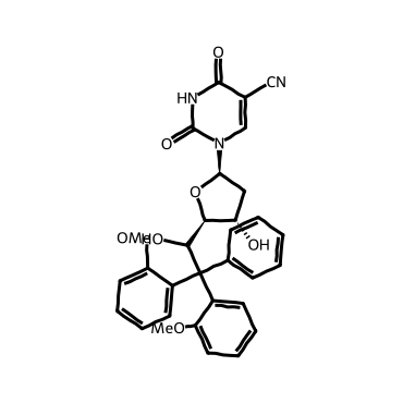 COc1ccccc1C(c1ccccc1)(c1ccccc1OC)C(O)[C@H]1O[C@@H](n2cc(C#N)c(=O)[nH]c2=O)C[C@@H]1O